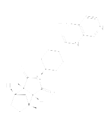 Cc1ccncc1NC(=O)[C@H]1CC[C@H](N2C(=O)[C@@H]3[C@@H]4CC[C@@H](C4)[C@@H]3C2=O)CC1